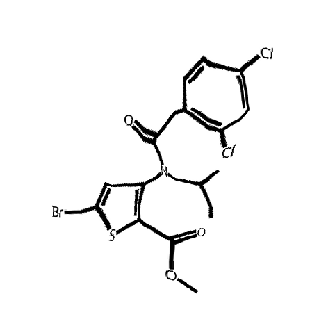 COC(=O)c1sc(Br)cc1N(C(=O)c1ccc(Cl)cc1Cl)C(C)C